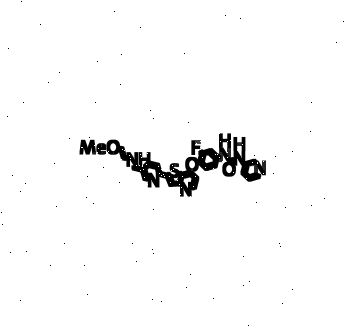 COCCNCc1ccc(-c2cc3nccc(Oc4ccc(NC(=O)Nc5cccnc5)cc4F)c3s2)nc1